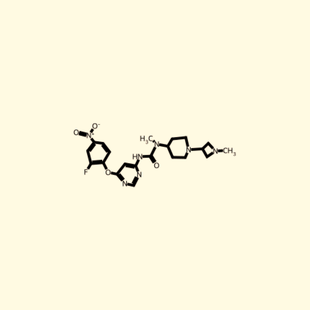 CN1CC(N2CCC(N(C)C(=O)Nc3cc(Oc4ccc([N+](=O)[O-])cc4F)ncn3)CC2)C1